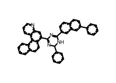 c1ccc(-c2ccc3ccc(C4=NC(c5cc6ncccc6c6c5ccc5ccccc56)=NC(c5ccccc5)N4)cc3c2)cc1